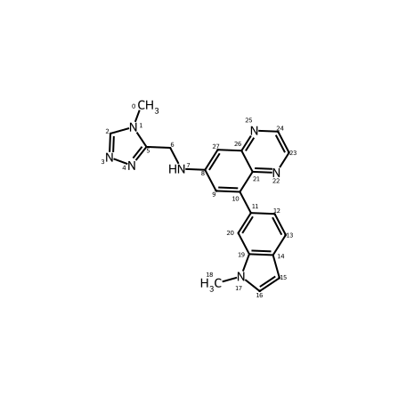 Cn1cnnc1CNc1cc(-c2ccc3ccn(C)c3c2)c2nccnc2c1